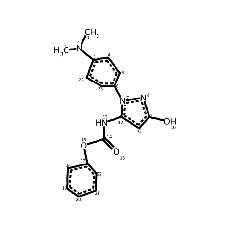 CN(C)c1ccc(-n2nc(O)cc2NC(=O)Oc2ccccc2)cc1